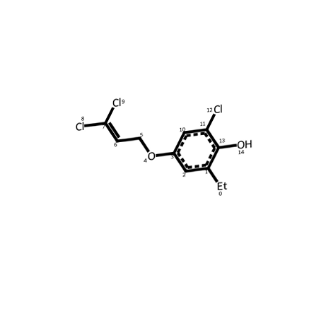 CCc1cc(OCC=C(Cl)Cl)cc(Cl)c1O